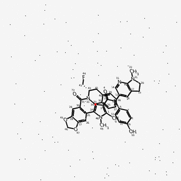 Cc1c(C(=O)N(c2ccc(O)cc2)c2cnc3c(c2)CCN3C)cc(-c2cc3c(cc2C(=O)N2Cc4ccccc4C[C@H]2CF)OCO3)n1C